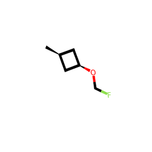 C[C@H]1C[C@@H](OCF)C1